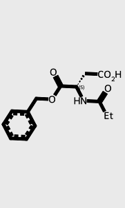 CCC(=O)N[C@@H](CC(=O)O)C(=O)OCc1ccccc1